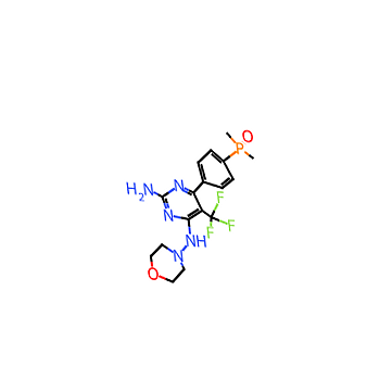 CP(C)(=O)c1ccc(-c2nc(N)nc(NN3CCOCC3)c2C(F)(F)F)cc1